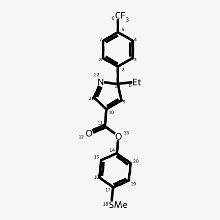 CCC1(c2ccc(C(F)(F)F)cc2)C=C(C(=O)Oc2ccc(SC)cc2)C=N1